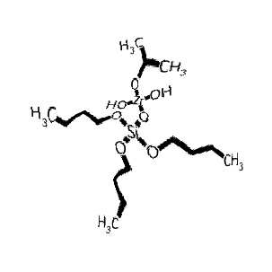 CCCCO[Si](OCCCC)(OCCCC)[O][Zr]([OH])([OH])[O]C(C)C